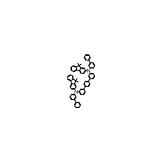 CC1(C)c2ccccc2-c2ccc(N(c3cccc(-c4ccccc4)c3)c3cccc(-c4ccc(-c5cccc(N(c6cccc(-c7ccccc7)c6)c6ccc7c(c6)C(C)(C)c6ccccc6-7)c5)cc4)c3)cc21